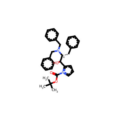 CC(C)(C)OC(=O)n1cccc1C(O)[C@@H](Cc1ccccc1)N(Cc1ccccc1)Cc1ccccc1